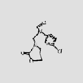 O=CN(CN1CCOC1=O)c1ccc(Cl)s1